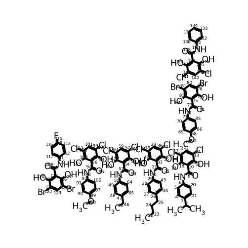 CC(C)c1ccc(NC(=O)c2c(O)c(Cl)cc(Cl)c2O)cc1.CCCCc1ccc(NC(=O)c2c(O)c(Cl)cc(Cl)c2O)cc1.CCc1ccc(NC(=O)c2c(O)c(Cl)cc(Cl)c2O)cc1.COc1ccc(NC(=O)c2c(O)c(Br)cc(Br)c2O)cc1.COc1ccc(NC(=O)c2c(O)c(Cl)cc(Cl)c2O)cc1.O=C(Nc1ccc(F)cc1)c1c(O)c(Br)cc(Br)c1O.O=C(Nc1ccccc1)c1c(O)c(Cl)cc(Cl)c1O